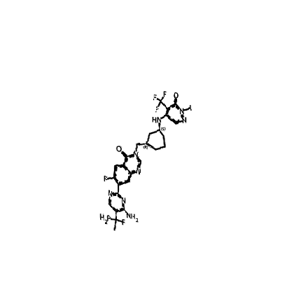 CC(F)(P)c1cnc(-c2cc3ncn(C[C@@H]4CCC[C@H](Nc5cnn(I)c(=O)c5C(F)(F)F)C4)c(=O)c3cc2F)nc1N